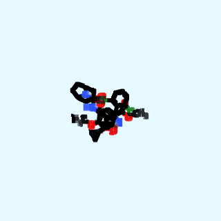 COC(=O)c1ccc(OC)c(NC(=O)N2C3CCC2CC(OCc2c(-c4c(Cl)cccc4Cl)noc2C2CC2)C3)c1